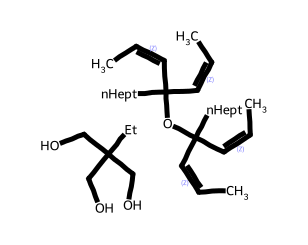 C/C=C\C(/C=C\C)(CCCCCCC)OC(/C=C\C)(/C=C\C)CCCCCCC.CCC(CO)(CO)CO